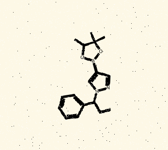 CCC(c1ccccc1)n1cc(B2OC(C)C(C)(C)O2)cn1